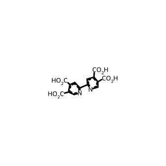 O=C(O)c1cnc(-c2cc(C(=O)O)c(C(=O)O)cn2)cc1C(=O)O